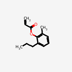 C=CC(=O)Oc1c(C)cccc1CCC